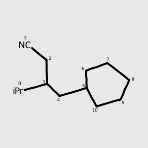 CC(C)C(CC#N)CC1CCCCC1